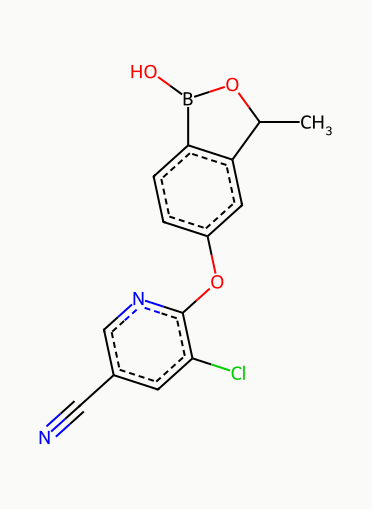 CC1OB(O)c2ccc(Oc3ncc(C#N)cc3Cl)cc21